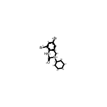 O=C1Nc2c(Br)cc(Br)cc2CN1C1CCCCC1